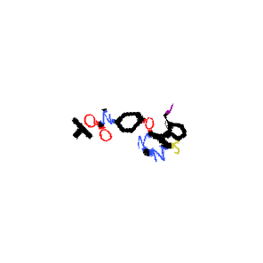 CN(C(=O)OC(C)(C)C)C1CCC(Oc2ncnc3sc4c(c23)[C@@H](CI)CC4)CC1